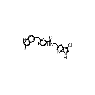 Cc1cnc2ccc(Cc3nccc(C(=O)NCc4cnc5[nH]cc(Cl)c5c4)n3)cc2c1